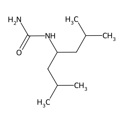 CC(C)CC(CC(C)C)NC(N)=O